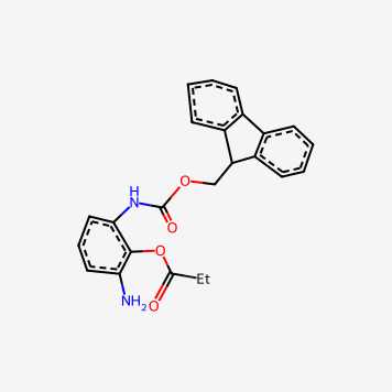 CCC(=O)Oc1c(N)cccc1NC(=O)OCC1c2ccccc2-c2ccccc21